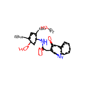 CC(C)(C)c1cc(C(C)(C)C)c(NC(=O)c2c[nH]c3ccccc3c2=O)cc1O.CC(C)O